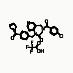 O=C(O)C(F)(F)F.O=C(c1ccc(CN2C(=O)CN(C(=O)c3ccc(Cl)cc3)Cc3cnccc32)cc1)N1CC=CC1